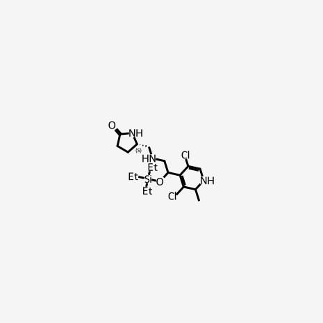 CC[Si](CC)(CC)OC(CNC[C@@H]1CCC(=O)N1)C1=C(Cl)C(C)NC=C1Cl